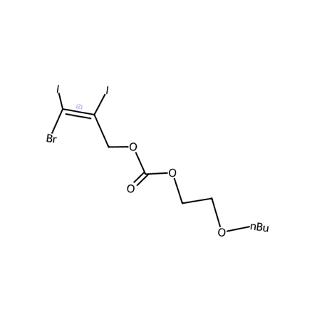 CCCCOCCOC(=O)OC/C(I)=C(\Br)I